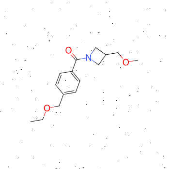 CCOCc1ccc(C(=O)N2CC(COC)C2)cc1